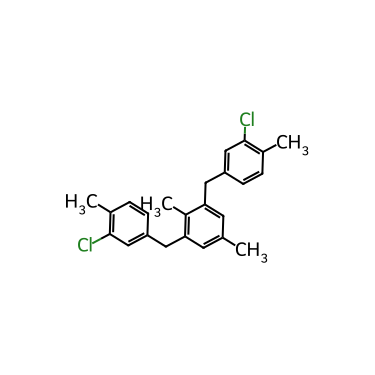 Cc1cc(Cc2ccc(C)c(Cl)c2)c(C)c(Cc2ccc(C)c(Cl)c2)c1